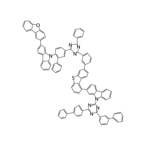 c1ccc(-c2ccc(-c3nc(-c4cccc(-c5ccccc5)c4)nc(-n4c5ccccc5c5ccc(-c6cccc7sc8cc(-c9cccc(-c%10nc(-c%11ccccc%11)nc(-c%11ccc(-n%12c%13ccccc%13c%13ccc(-c%14ccc%15oc%16ccccc%16c%15c%14)cc%13%12)c(-c%12ccccc%12)c%11)n%10)c9)ccc8c67)cc54)n3)cc2)cc1